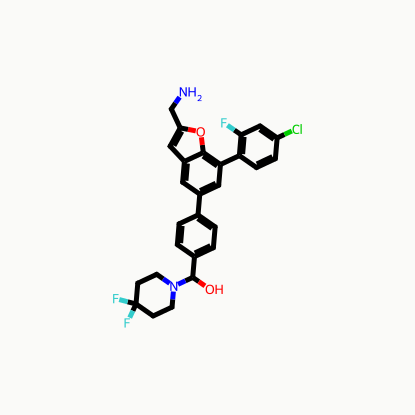 NCc1cc2cc(-c3ccc(C(O)N4CCC(F)(F)CC4)cc3)cc(-c3ccc(Cl)cc3F)c2o1